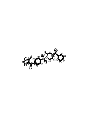 Cc1ocnc1C(=O)c1ccc(S(=O)(=O)N2CCN(C(=O)c3ccccc3)CC2C)cc1